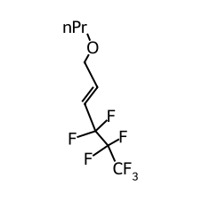 [CH2]CCOCC=CC(F)(F)C(F)(F)C(F)(F)F